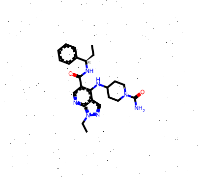 CC[C@@H](NC(=O)c1cnc2c(cnn2CC)c1NC1CCN(C(N)=O)CC1)c1ccccc1